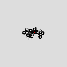 O=C(Nc1cccc2c1cnn2CCCCC1(C(=O)NCC(F)(F)F)c2ccccc2-c2ccccc21)c1ccccc1-c1ccc(C(F)(F)F)cc1